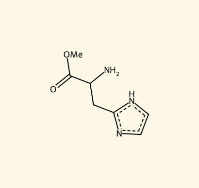 COC(=O)C(N)Cc1ncc[nH]1